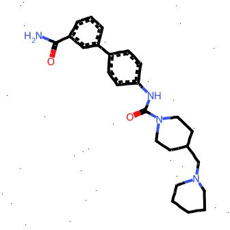 NC(=O)c1cccc(-c2ccc(NC(=O)N3CCC(CN4CCCCC4)CC3)cc2)c1